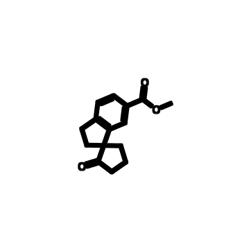 COC(=O)c1ccc2c(c1)C1(CCCC1=O)CC2